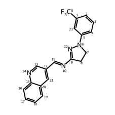 FC(F)(F)c1cccc(N2CCC(N=Cc3cnc4ccccc4c3)=N2)c1